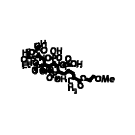 CCOC(=S)SC(CC(CC(CC(CC(CC(C)C(=O)OCCOC)P(=O)(O)O)P(=O)(O)O)P(=O)(O)O)P(=O)(O)O)P(=O)(O)O